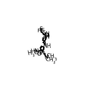 CNC(=O)c1ccc(NC2CC3(CCN(c4ncnc5sc(CC(F)(F)F)cc45)C3)C2)cc1NCCN(C)C